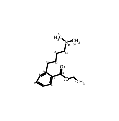 CCOC(=O)c1ccccc1CCCCN(C)C